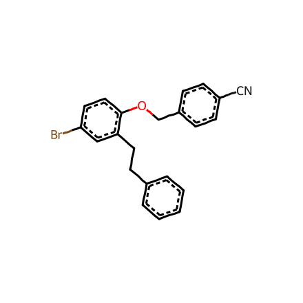 N#Cc1ccc(COc2ccc(Br)cc2CCc2ccccc2)cc1